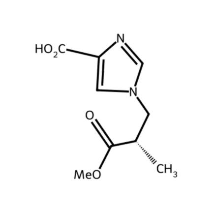 COC(=O)[C@@H](C)Cn1cnc(C(=O)O)c1